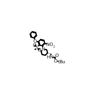 CC(C)(C)OC(=O)NC[C@@H]1CCCN(c2c([N+](=O)[O-])ccc(Oc3ccccc3)c2S(C)(=O)=O)C1